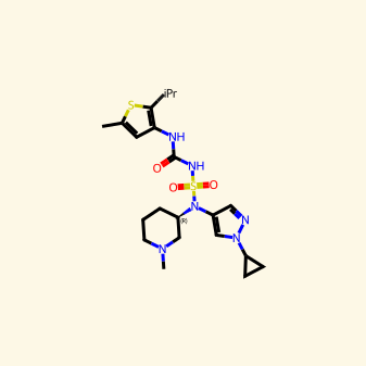 Cc1cc(NC(=O)NS(=O)(=O)N(c2cnn(C3CC3)c2)[C@@H]2CCCN(C)C2)c(C(C)C)s1